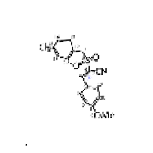 COc1ccc(/C=C(\C#N)S(=O)(=O)Cc2ccc(Cl)cc2)cc1